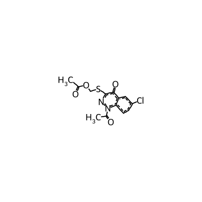 CC(=O)OCSc1nn(C(C)=O)c2ccc(Cl)cc2c1=O